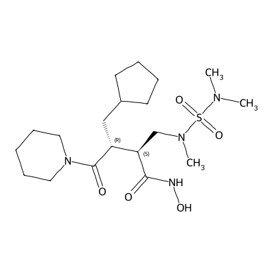 CN(C)S(=O)(=O)N(C)C[C@@H](C(=O)NO)[C@@H](CC1CCCC1)C(=O)N1CCCCC1